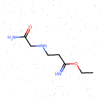 CCOC(=N)CCNCC(N)=O